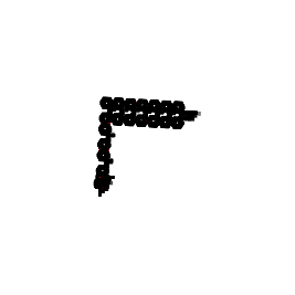 O=P([O-])([O-])[O-].[F-].[F-].[F-].[F-].[F-].[F-].c1ccc([I+]c2ccccc2)cc1.c1ccc([I+]c2ccccc2)cc1.c1ccc([I+]c2ccccc2)cc1.c1ccc([I+]c2ccccc2)cc1.c1ccc([I+]c2ccccc2)cc1.c1ccc([I+]c2ccccc2)cc1.c1ccc([I+]c2ccccc2)cc1.c1ccc([I+]c2ccccc2)cc1.c1ccc([I+]c2ccccc2)cc1